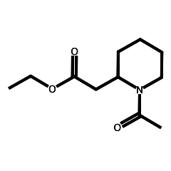 CCOC(=O)CC1CCCCN1C(C)=O